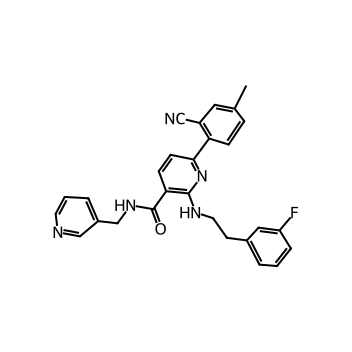 Cc1ccc(-c2ccc(C(=O)NCc3cccnc3)c(NCCc3cccc(F)c3)n2)c(C#N)c1